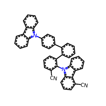 N#Cc1cccc(-c2ccccc2-c2ccc(-n3c4ccccc4c4ccccc43)cc2)c1-n1c2ccccc2c2c(C#N)cccc21